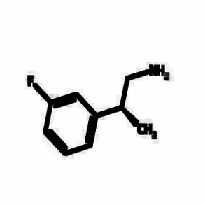 C[C@H](CN)c1cccc(F)c1